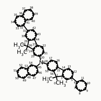 CC1(C)c2cc(-c3ccccc3)ccc2-c2ccc(N(c3ccc4c(c3)C(C)(C)c3cc(-c5cccc6ccccc56)ccc3-4)c3ccc4ccccc4c3)cc21